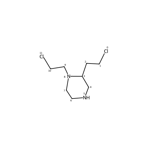 ClCCC1CNCCN1CCCl